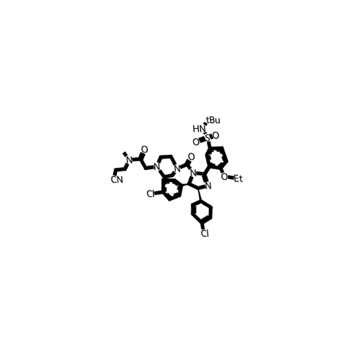 CCOc1ccc(S(=O)(=O)NC(C)(C)C)cc1C1=N[C@@H](C2C=CC(Cl)=CC2)[C@@H](c2ccc(Cl)cc2)N1C(=O)N1CCN(CC(=O)N(C)CCC#N)CC1